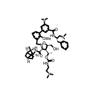 COc1c(CN2O[C@@H](CO)[C@@H]([C@H](C)OC(=O)NCCN(C)C)[C@H]2C(=O)N[C@H]2C[C@H]3C[C@@H]([C@@H]2C)C3(C)C)cccc1-c1cc(C(=O)N[C@@H](Cc2ccccc2)CN(C)C)cc(N(C)C)c1